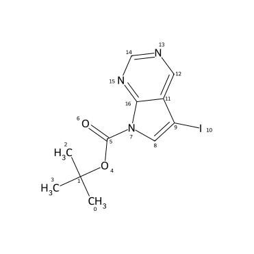 CC(C)(C)OC(=O)n1cc(I)c2cncnc21